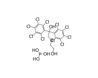 OCCOCC(O)(c1c(Cl)c(Cl)c(Cl)c(Cl)c1Cl)c1c(Cl)c(Cl)c(Cl)c(Cl)c1Cl.OP(O)O